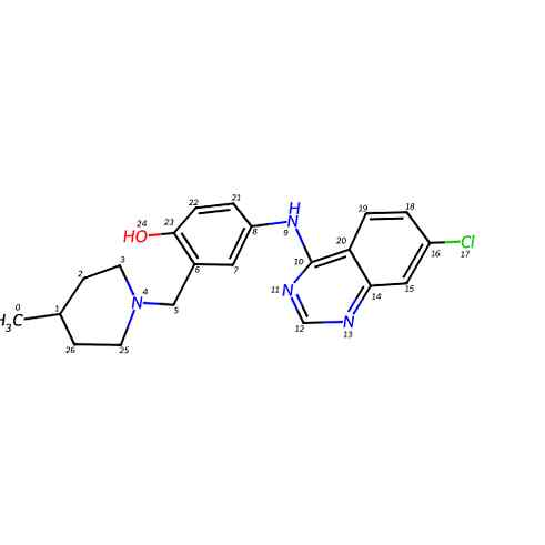 CC1CCN(Cc2cc(Nc3ncnc4cc(Cl)ccc34)ccc2O)CC1